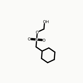 O=S(=O)(CC1CCCCC1)OCO